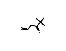 CC(C)(C)C(=O)[CH]C=S